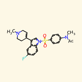 CC(=O)N(C)c1ccc(S(=O)(=O)n2cc(C3=CCN(C)CC3)c3cc(F)ccc32)cc1